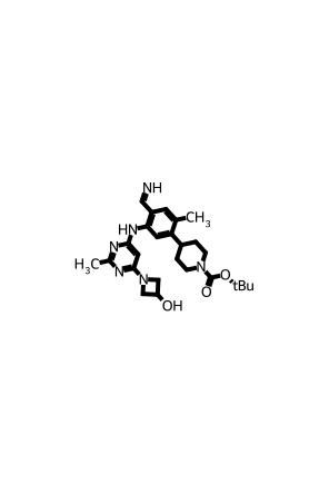 Cc1nc(Nc2cc(C3CCN(C(=O)OC(C)(C)C)CC3)c(C)cc2C=N)cc(N2CC(O)C2)n1